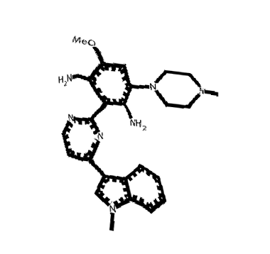 COc1cc(N2CCN(C)CC2)c(N)c(-c2nccc(-c3cn(C)c4ccccc34)n2)c1N